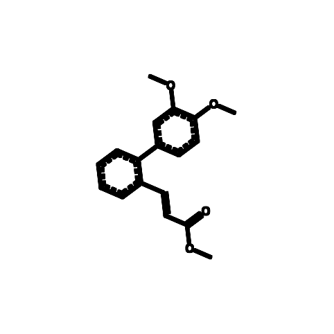 COC(=O)/C=C/c1ccccc1-c1ccc(OC)c(OC)c1